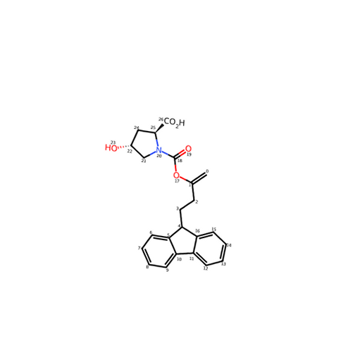 C=C(CCC1c2ccccc2-c2ccccc21)OC(=O)N1C[C@H](O)C[C@H]1C(=O)O